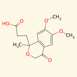 COc1cc2c(cc1OC)C(C)(CCC(=O)O)OCC2=O